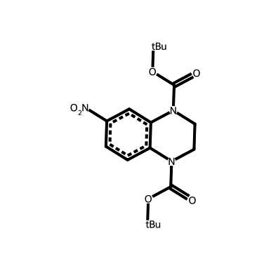 CC(C)(C)OC(=O)N1CCN(C(=O)OC(C)(C)C)c2cc([N+](=O)[O-])ccc21